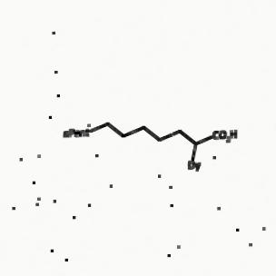 CCCCCCCCCC[CH]([Dy])C(=O)O